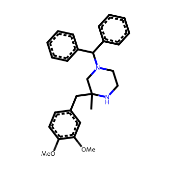 COc1ccc(CC2(C)CN(C(c3ccccc3)c3ccccc3)CCN2)cc1OC